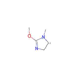 COC1=NC[C]N1C